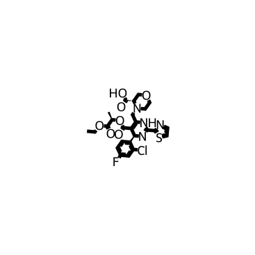 CCOC(=O)[C@@H](C)OC(=O)C1=C(CN2CCOC[C@H]2C(=O)O)NC(c2nccs2)=N[C@H]1c1ccc(F)cc1Cl